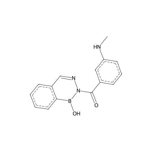 CNc1cccc(C(=O)N2N=Cc3ccccc3B2O)c1